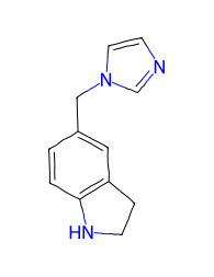 c1cn(Cc2ccc3c(c2)CCN3)cn1